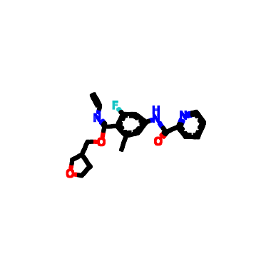 C=C/N=C(/OCC1CCOC1)c1c(C)cc(NC(=O)c2ccccn2)cc1F